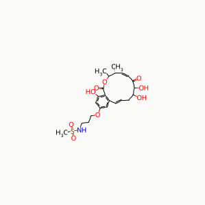 CC1OC(=O)c2c(O)cc(OCCCNS(C)(=O)=O)cc2/C=C/CC(O)C(O)C(=O)/C=C\[C@H]1C